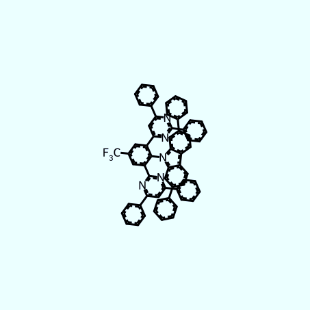 FC(F)(F)c1cc(-c2cc(-c3ccccc3)nc(-c3ccccc3)n2)c(-n2c3cc(-c4ccccc4)ccc3c3ccc(-c4ccccc4)cc32)c(-c2nc(-c3ccccc3)cc(-c3ccccc3)n2)c1